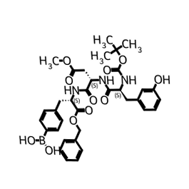 COC(=O)C[C@H](NC(=O)[C@H](Cc1cccc(O)c1)NC(=O)OC(C)(C)C)C(=O)N[C@@H](Cc1ccc(B(O)O)cc1)C(=O)OCc1ccccc1